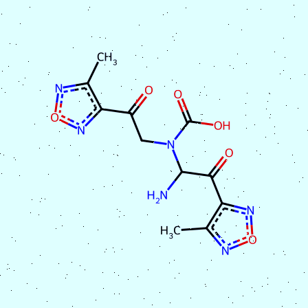 Cc1nonc1C(=O)CN(C(=O)O)C(N)C(=O)c1nonc1C